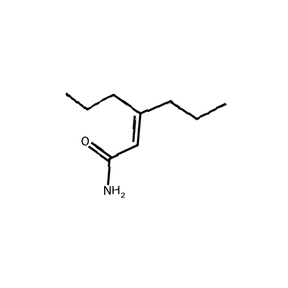 CCCC(=CC(N)=O)CCC